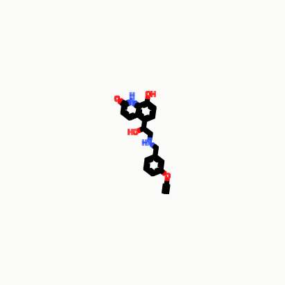 C#COc1cccc(CNCC(O)c2ccc(O)c3[nH]c(=O)ccc23)c1